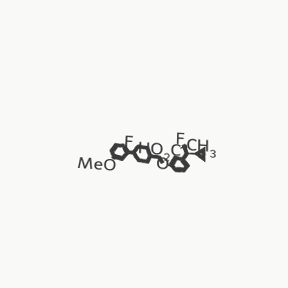 COc1ccc(F)c(C2CCC(COc3cccc([C@H](C4CC4)[C@](C)(F)C(=O)O)c3)CC2)c1